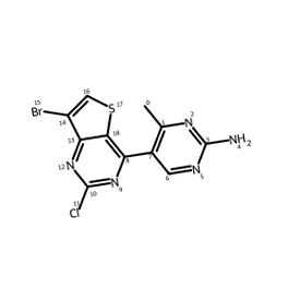 Cc1nc(N)ncc1-c1nc(Cl)nc2c(Br)csc12